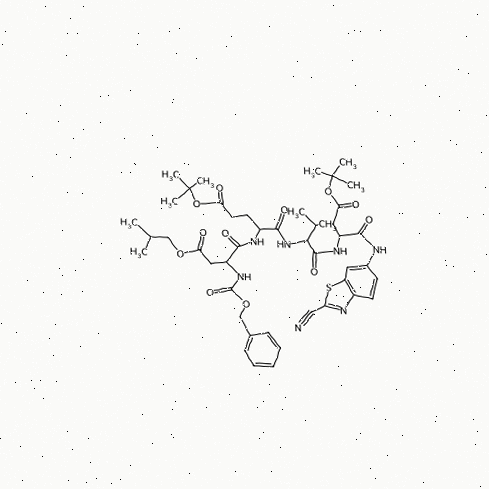 CC(C)COC(=O)CC(NC(=O)OCc1ccccc1)C(=O)NC(CCC(=O)OC(C)(C)C)C(=O)NC(C(=O)NC(CC(=O)OC(C)(C)C)C(=O)Nc1ccc2nc(C#N)sc2c1)C(C)C